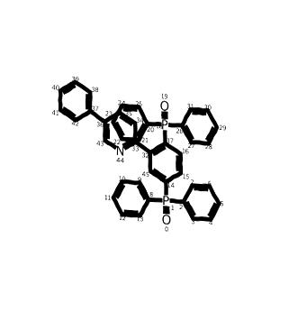 O=P(c1ccccc1)(c1ccccc1)c1ccc(P(=O)(c2ccccc2)c2ccccc2)c(-c2ccc(-c3ccccc3)cn2)c1